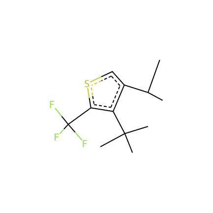 CC(C)c1csc(C(F)(F)F)c1C(C)(C)C